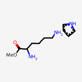 COC(=O)C(N)CCCCN.c1cc[nH]c1